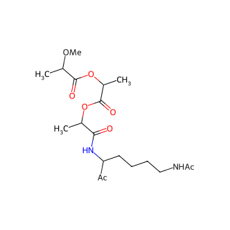 COC(C)C(=O)OC(C)C(=O)OC(C)C(=O)NC(CCCCNC(C)=O)C(C)=O